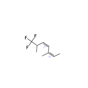 C/C=C(C)\C=C/C(C)C(F)(F)F